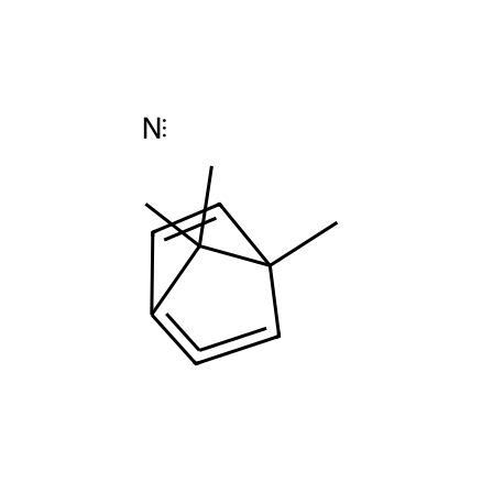 CC12C=C=C(C=C1)C2(C)C.[N]